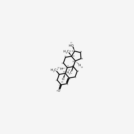 CC1CC(=O)C=C2CCC3(C)[C@H](CC[C@]4(C)[C@@H](O)CC[C@@H]34)[C@H]21